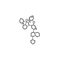 CC1(c2ccccn2)C2=C(c3cc(-c4ccc(-c5ccccc5)c5ccccc45)ncc3Oc3cnccc32)c2ccccc21